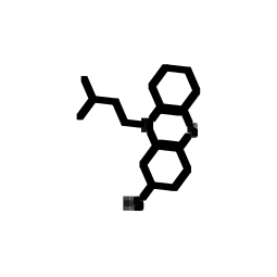 CC(C)CCN1C2=C(CCCC2)SC2=C1CC(S)CC2